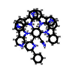 N#Cc1c(-c2cccc(-c3ccccc3)n2)c(-n2c3ccccc3c3ccncc32)c(-n2c3ccccc3c3ccncc32)c(-n2c3ccccc3c3ccncc32)c1-n1c2ccccc2c2ccncc21